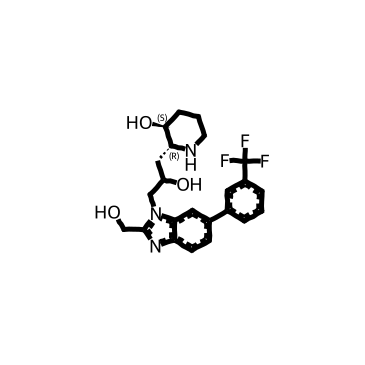 OCc1nc2ccc(-c3cccc(C(F)(F)F)c3)cc2n1CC(O)C[C@H]1NCCC[C@@H]1O